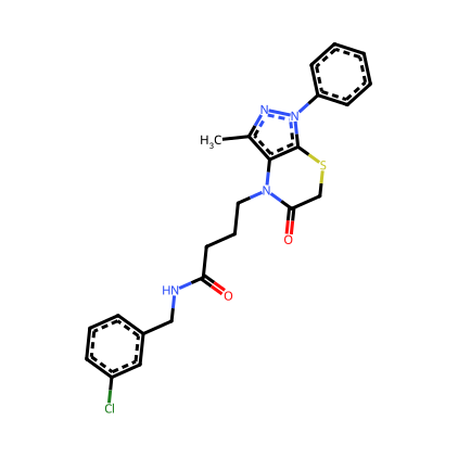 Cc1nn(-c2ccccc2)c2c1N(CCCC(=O)NCc1cccc(Cl)c1)C(=O)CS2